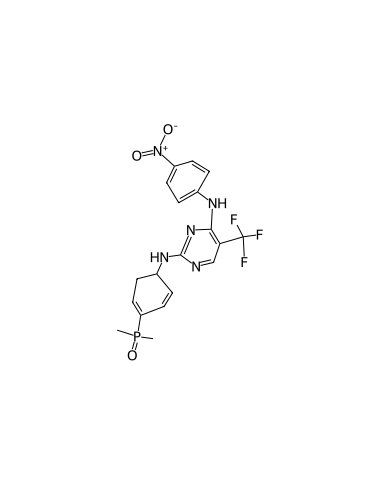 CP(C)(=O)C1=CCC(Nc2ncc(C(F)(F)F)c(Nc3ccc([N+](=O)[O-])cc3)n2)C=C1